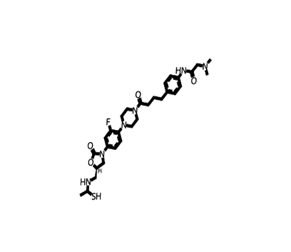 CC(S)NC[C@@H]1CN(c2ccc(N3CCN(C(=O)CCCc4ccc(NC(=O)CN(C)C)cc4)CC3)c(F)c2)C(=O)O1